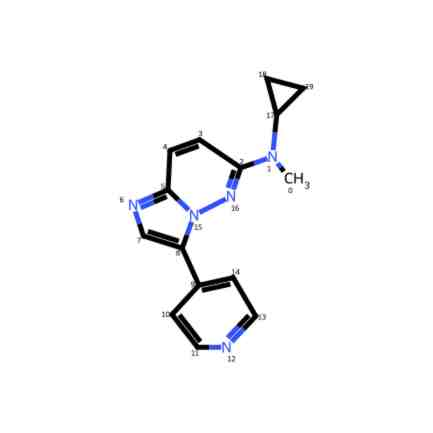 CN(c1ccc2ncc(-c3ccncc3)n2n1)C1CC1